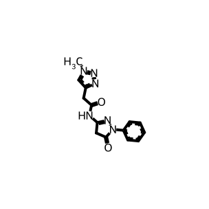 Cn1cc(CC(=O)NC2=NN(c3ccccc3)C(=O)C2)nn1